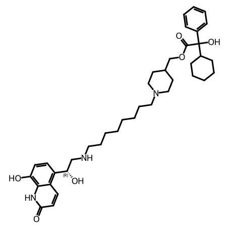 O=C(OCC1CCN(CCCCCCCCNC[C@H](O)c2ccc(O)c3[nH]c(=O)ccc23)CC1)C(O)(c1ccccc1)C1CCCCC1